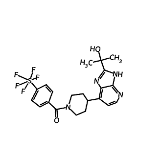 CC(C)(O)c1nc2c(C3CCN(C(=O)c4ccc(S(F)(F)(F)(F)F)cc4)CC3)ccnc2[nH]1